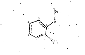 Cc1ccccc1SC(C)C